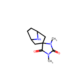 CN1C(=O)N(C)C2(CC3CCC(C2)N3)C1=O